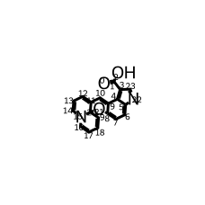 O=C(O)C1=c2c(ccc3c2=CC2=CC=CN4C=CC=CC24O3)N=C1